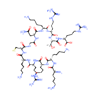 C[C@@H](O)[C@H](NC(=O)[C@H](CCCNC(=N)N)NC(=O)[C@H](CCCCN)NC(=O)[C@H](CC(N)=O)NC(=O)CNC(=O)[C@H](CS)NC(=O)[C@H](CCCCN)NC(=O)[C@H](CCCNC(=N)N)NC(=O)[C@H](CCCCN)NC(=O)[C@H](CCCCN)NC(=O)[C@@H](N)CCCCN)C(=O)N[C@@H](CCCNC(=N)N)C(=O)O